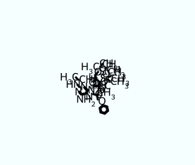 CO[C@@H]1[C@@H]2O[Si](C(C)C)(C(C)C)O[Si](C(C)C)(C(C)C)OC[C@H]2O[C@H]1n1c(C(=O)COc2ccccc2)nc2c(N)nc(NC(C)C)nc21